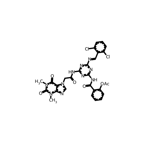 CC(=O)Oc1ccccc1C(=O)Nc1nc(N=Cc2c(Cl)cccc2Cl)nc(NC(=O)Cn2cnc3c2c(=O)n(C)c(=O)n3C)n1